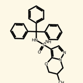 CC1COc2c(S(=N)(=O)NC(c3ccccc3)(c3ccccc3)c3ccccc3)cnn2C1